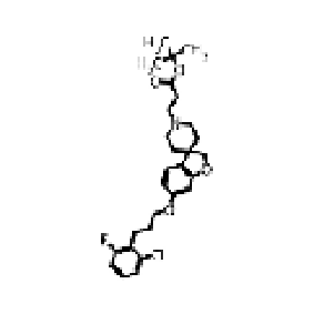 CC(C)(C)OC(=O)CCN1CCC2(CC1)COc1cc(OCCCc3c(F)cccc3Cl)ccc12